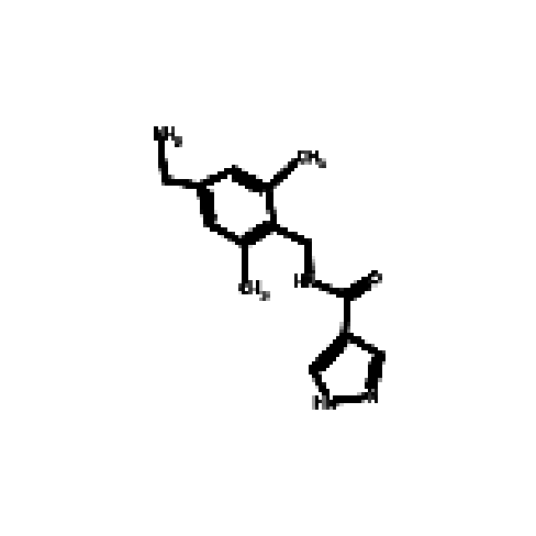 Cc1cc(CN)cc(C)c1CNC(=O)c1cn[nH]c1